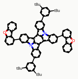 CC(C)(C)c1cc(-c2ccc3c4c5c6ccc(-c7cccc8oc9ccccc9c78)cc6n6c7cc(-c8cc(C(C)(C)C)cc(C(C)(C)C)c8)ccc7c(c7c8ccc(-c9cccc%10oc%11ccccc%11c9%10)cc8n(c3c2)c47)c56)cc(C(C)(C)C)c1